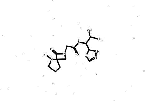 CC(=O)N1CCCC12CN(CC(=O)NC(C(C)O)C1NN=CO1)C2=O